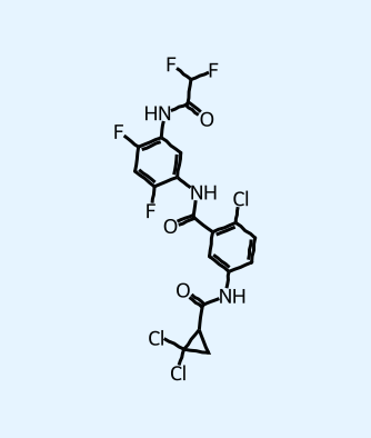 O=C(Nc1cc(NC(=O)C(F)F)c(F)cc1F)c1cc(NC(=O)C2CC2(Cl)Cl)ccc1Cl